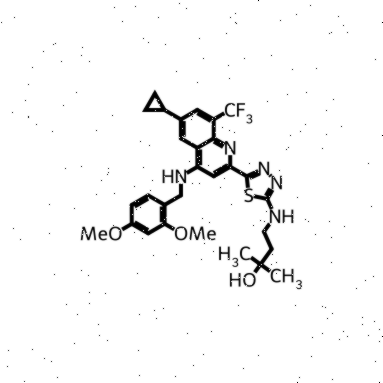 COc1ccc(CNc2cc(-c3nnc(NCCC(C)(C)O)s3)nc3c(C(F)(F)F)cc(C4CC4)cc23)c(OC)c1